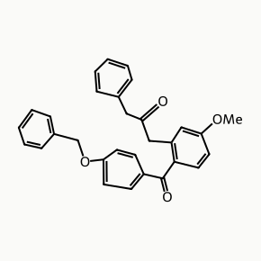 COc1ccc(C(=O)c2ccc(OCc3ccccc3)cc2)c(CC(=O)Cc2ccccc2)c1